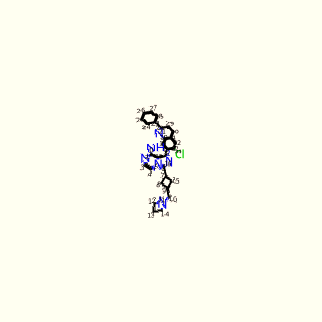 Nc1nccn2c(C3CC(CN4CCC4)C3)nc(-c3cc4nc(-c5ccccc5)ccc4cc3Cl)c12